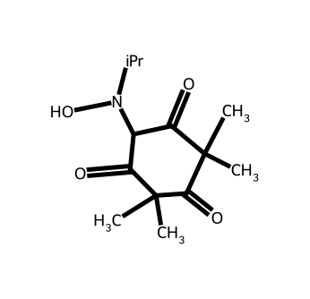 CC(C)N(O)C1C(=O)C(C)(C)C(=O)C(C)(C)C1=O